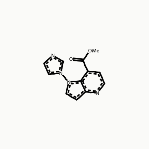 COC(=O)c1ccnc2ccn(-n3ccnc3)c12